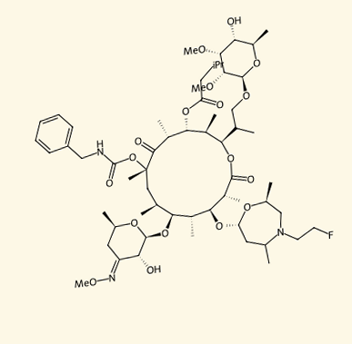 CON=C1C[C@@H](C)O[C@@H](O[C@@H]2[C@@H](C)[C@H](O[C@H]3CC(C)N(CCF)C[C@H](C)O3)[C@@H](C)C(=O)O[C@H](C(C)CO[C@@H]3O[C@H](C)[C@@H](O)[C@@H](OC)[C@H]3OC)[C@H](C)[C@@H](OC(=O)CC(C)C)[C@@H](C)C(=O)[C@@](C)(OC(=O)NCc3ccccc3)C[C@@H]2C)[C@@H]1O